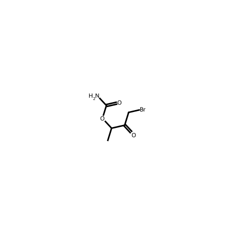 CC(OC(N)=O)C(=O)CBr